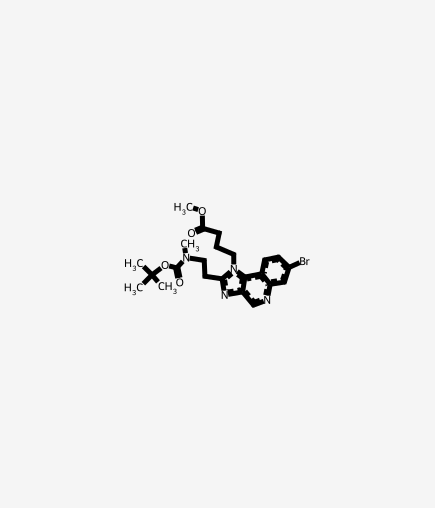 COC(=O)CCCn1c(CCN(C)C(=O)OC(C)(C)C)nc2cnc3cc(Br)ccc3c21